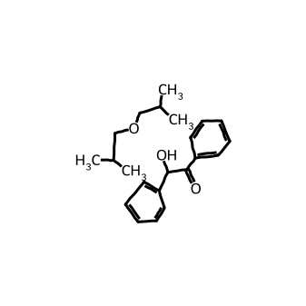 CC(C)COCC(C)C.O=C(c1ccccc1)C(O)c1ccccc1